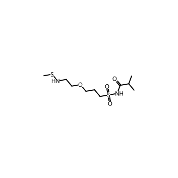 CSNCCOCCCS(=O)(=O)NC(=O)C(C)C